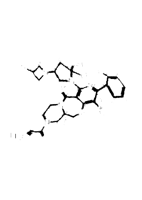 C=CC(=O)N1CCN2C(=O)c3c(N4CC(N5CC(F)C5)CC4(C)C)nc(-c4ccccc4F)c(Cl)c3OC[C@H]2C1